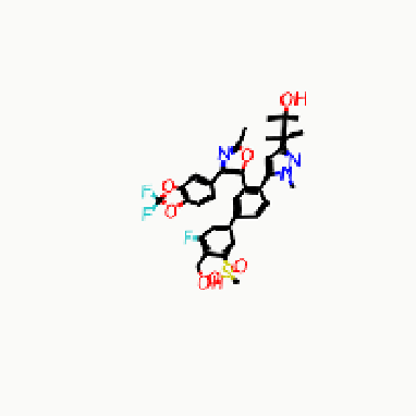 Cc1nc(-c2ccc3c(c2)OC(F)(F)O3)c(-c2cc(-c3cc(F)c(CO)c(S(C)(=O)=O)c3)ccc2-c2cc(C(C)(C)C(C)(C)O)nn2C)o1